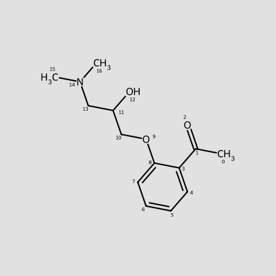 CC(=O)c1ccccc1OCC(O)CN(C)C